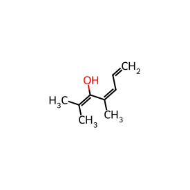 C=C/C=C(/C)C(O)=C(C)C